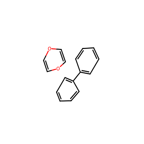 C1=COC=CO1.c1ccc(-c2ccccc2)cc1